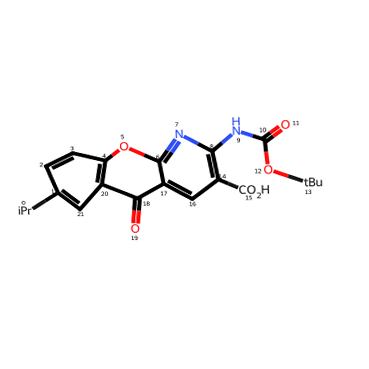 CC(C)c1ccc2oc3nc(NC(=O)OC(C)(C)C)c(C(=O)O)cc3c(=O)c2c1